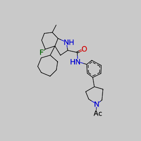 CC(=O)N1CCC(c2cccc(NC(=O)C3CC4(C5CCCCCC5)C(F)CCC(C)C4N3)c2)CC1